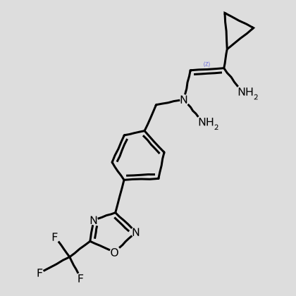 N/C(=C\N(N)Cc1ccc(-c2noc(C(F)(F)F)n2)cc1)C1CC1